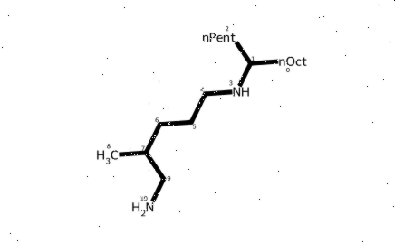 CCCCCCCCC(CCCCC)NCCCC(C)CN